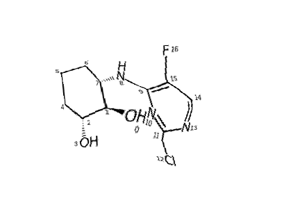 O[C@H]1[C@H](O)CCC[C@@H]1Nc1nc(Cl)ncc1F